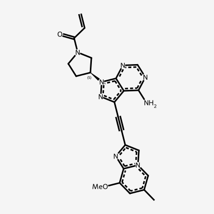 C=CC(=O)N1CC[C@H](n2nc(C#Cc3cn4cc(C)cc(OC)c4n3)c3c(N)ncnc32)C1